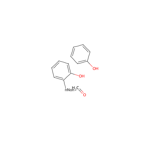 C=O.CCCCCCCCCc1ccccc1O.Oc1ccccc1